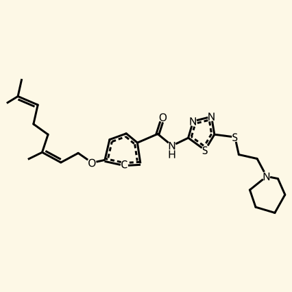 CC(C)=CCCC(C)=CCOc1ccc(C(=O)Nc2nnc(SCCN3CCCCC3)s2)cc1